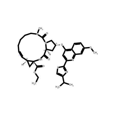 CCOC(=O)[C@@]12C[C@H]1/C=C\CCCCN(C)C(=O)N1C[C@H](Oc3cc(-c4nc(C(C)C)cs4)nc4cc(OC)ccc34)C[C@H]1C(=O)N2